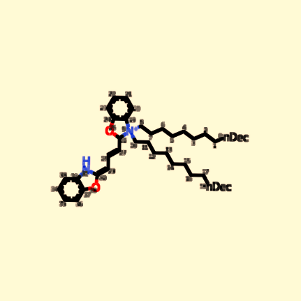 CCCCCCCCCCCCCCCCCC[N+]1(CCCCCCCCCCCCCCCCCC)c2ccccc2OC1C=CC=C1Nc2ccccc2O1